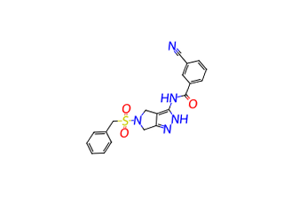 N#Cc1cccc(C(=O)Nc2[nH]nc3c2CN(S(=O)(=O)Cc2ccccc2)C3)c1